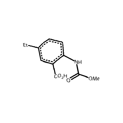 CCc1ccc(NC(=O)OC)c(C(=O)O)c1